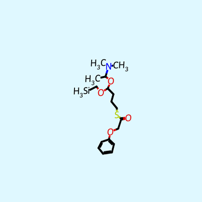 CC(OC(CCCSC(=O)COc1ccccc1)OC[SiH3])N(C)C